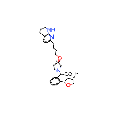 O=C(O)[C@@H](c1ccccc1C1CCCO1)N1CC[C@@H](OCCCCc2ccc3c(n2)NCCC3)C1